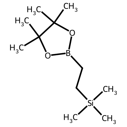 CC1(C)OB(CC[Si](C)(C)C)OC1(C)C